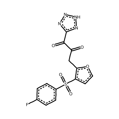 O=C(Cc1occc1S(=O)(=O)c1ccc(F)cc1)C(=O)c1nn[nH]n1